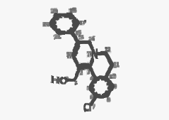 OCC1=C2c3cc(Cl)ccc3CCN2CC(c2ccccc2)=C1